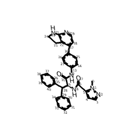 Cn1nccc1C(=O)N[C@H](C(=O)Nc1ccc(-c2ccnc3c2CCN3)cc1)C(c1ccccc1)c1ccccc1